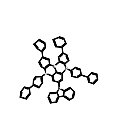 c1ccc(-c2ccc(N3c4ccc(-c5ccccc5)cc4B4c5cc(-c6ccccc6)ccc5N(c5ccc(-c6ccccc6)cc5)c5cc(B6c7ccccc7-c7ccccc76)cc3c54)cc2)cc1